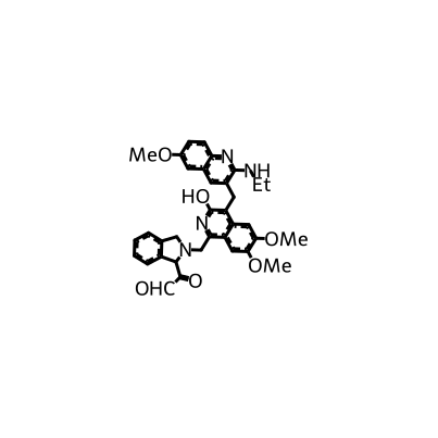 CCNc1nc2ccc(OC)cc2cc1Cc1c(O)nc(CN2Cc3ccccc3C2C(=O)C=O)c2cc(OC)c(OC)cc12